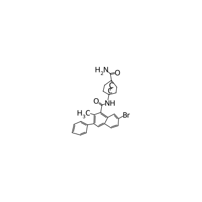 Cc1c(-c2ccccc2)cc2ccc(Br)cc2c1C(=O)NC12CCC(C(N)=O)(CC1)CC2